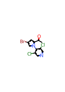 CC(=O)c1cc(Br)cn1-c1c(Cl)cncc1Cl